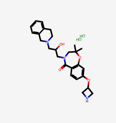 CC1(C)CN(CC(O)CN2CCc3ccccc3C2)C(=O)c2ccc(OC3CNC3)cc2O1.Cl.Cl